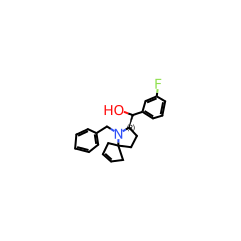 OC(c1cccc(F)c1)[C@H]1CCC2(CC=CC2)N1Cc1ccccc1